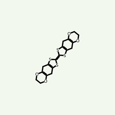 C1COC2=C(CC3=C(C2)SC(=C2SC4=C(CC5=C(C4)OCCO5)S2)S3)O1